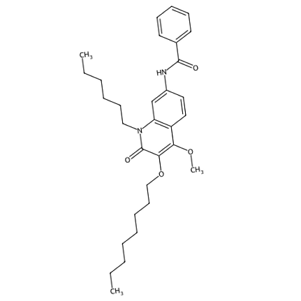 CCCCCCCCOc1c(OC)c2ccc(NC(=O)c3ccccc3)cc2n(CCCCCC)c1=O